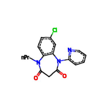 CCCN1C(=O)CC(=O)N(c2ccccn2)c2cc(Cl)ccc21